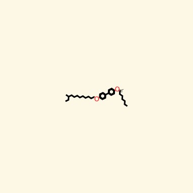 CCCCCC[C@@H](C)Oc1ccc(-c2ccc(OCCCCCCCCCC(C)CC)cc2)cc1